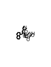 O=C1CN2C(=O)CON(C(=O)N(Cc3ccncc3)Cc3cccc4ccccc34)C2CN1